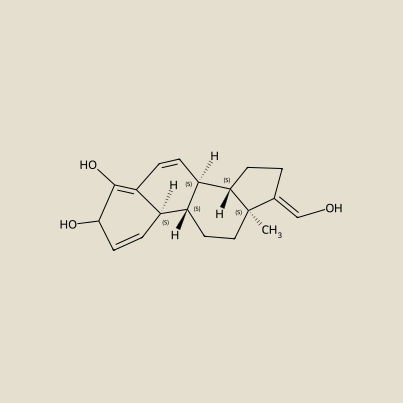 C[C@]12CC[C@H]3[C@@H](C=CC4=C(O)C(O)C=C[C@@H]43)[C@@H]1CCC2=CO